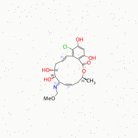 COC/N=C1\C=C/C[C@H](C)OC(=O)c2c(O)cc(O)c(Cl)c2/C=C/C[C@H](O)[C@@H]1O